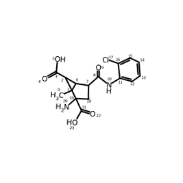 CC12C(C(=O)O)C1C(C(=O)Nc1ccccc1Cl)CC2(N)C(=O)O